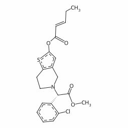 CC/C=C/C(=O)Oc1cc2c(s1)CCN([C@H](C(=O)OC)c1ccccc1Cl)C2